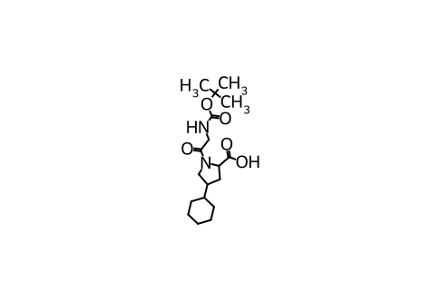 CC(C)(C)OC(=O)NCC(=O)N1CC(C2CCCCC2)CC1C(=O)O